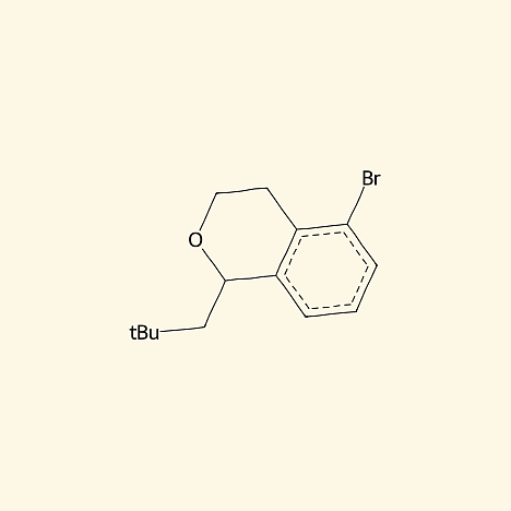 CC(C)(C)CC1OCCc2c(Br)cccc21